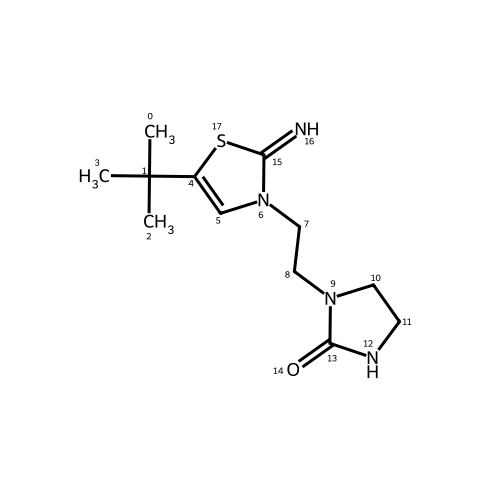 CC(C)(C)c1cn(CCN2CCNC2=O)c(=N)s1